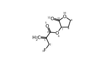 C=C(CF)C(=O)OC1CCOC1=O